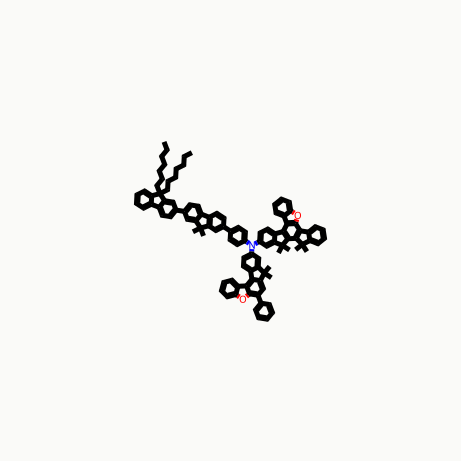 CCCCCCCC1(CCCCCCC)c2ccccc2-c2ccc(-c3ccc4c(c3)C(C)(C)c3cc(-c5ccc(N(c6ccc7c(c6)C(C)(C)c6cc(-c8ccccc8)c8oc9ccccc9c8c6-7)c6ccc7c(c6)C(C)(C)c6c8c(c9oc%10ccccc%10c9c6-7)-c6ccccc6C8(C)C)cc5)ccc3-4)cc21